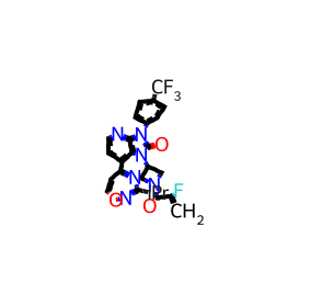 C=C(F)C(=O)N1CC(n2c(=O)n(-c3ccc(C(F)(F)F)cc3)c3nccc(C4=NC(C(C)C)=NOC=C4)c32)C1